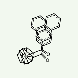 O=C(c1ccc2ccccc2c1)[C]12[CH]3[CH]4[CH]5[CH]1[Fe]45321678[CH]2[CH]1[CH]6[C]7(C(=O)c1ccc3ccccc3c1)[CH]28